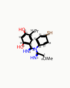 COCC(=N)N(C(=N)c1cc(C(C)C)c(O)cc1O)c1ccc(S)cc1